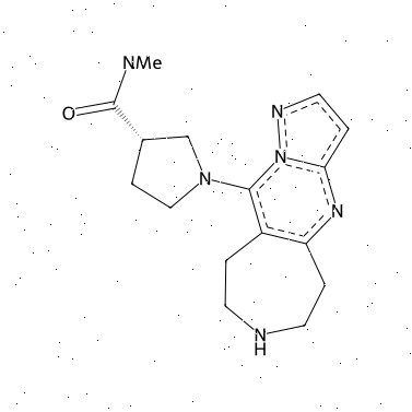 CNC(=O)[C@H]1CCN(c2c3c(nc4ccnn24)CCNCC3)C1